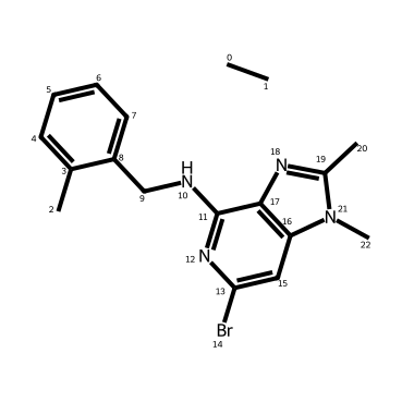 CC.Cc1ccccc1CNc1nc(Br)cc2c1nc(C)n2C